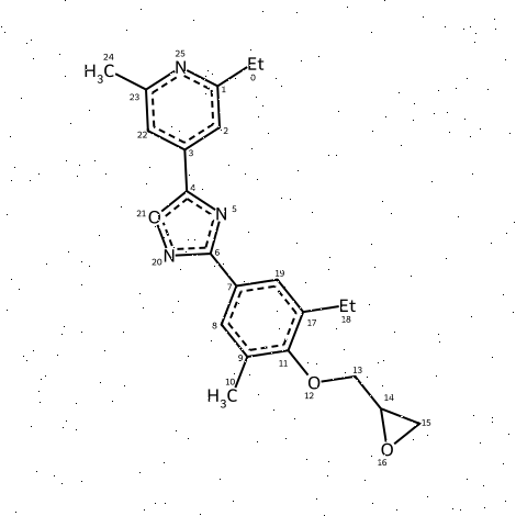 CCc1cc(-c2nc(-c3cc(C)c(OCC4CO4)c(CC)c3)no2)cc(C)n1